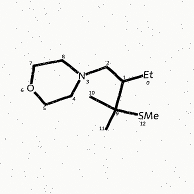 CCC(CN1CCOCC1)C(C)(C)SC